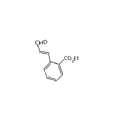 CCOC(=O)c1ccccc1/C=C/[C]=O